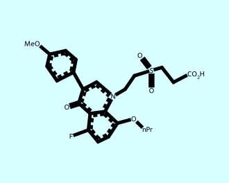 CCCOc1ccc(F)c2c(=O)c(-c3ccc(OC)cc3)cn(CCS(=O)(=O)CCC(=O)O)c12